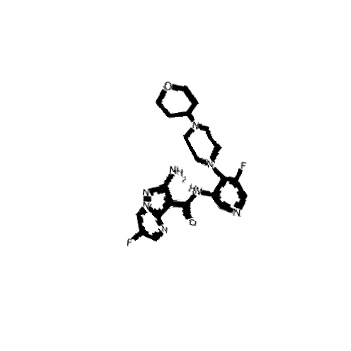 Nc1nn2cc(F)cnc2c1C(=O)Nc1cncc(F)c1N1CCN(C2CCOCC2)CC1